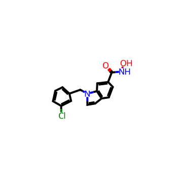 O=C(NO)c1ccc2ccn(Cc3cccc(Cl)c3)c2c1